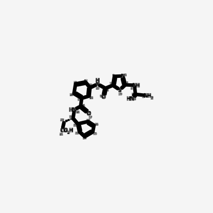 N=C(N)Nc1ncc(C(=O)Nc2cccc(C(=O)N[C@@H](CC(=O)O)c3ccccc3)c2)s1